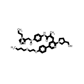 CCCCOCCOc1ccc(-c2cnc(N3CCC(CO)C3)c(C=C(C)C(=O)Nc3ccc([S+]([O-])Cc4nncn4CCC)cc3)c2)cc1